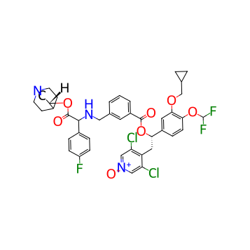 O=C(O[C@@H](Cc1c(Cl)c[n+]([O-])cc1Cl)c1ccc(OC(F)F)c(OCC2CC2)c1)c1cccc(CNC(C(=O)O[C@H]2CN3CCC2CC3)c2ccc(F)cc2)c1